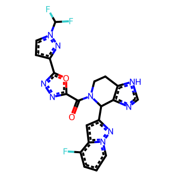 O=C(c1nnc(-c2ccn(C(F)F)n2)o1)N1CCc2[nH]cnc2C1c1cc2c(F)cccn2n1